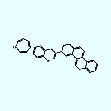 C1=CC=CNC=C1.O=C(Cc1ccccc1Br)C1C=c2c(ccc3c2=CCc2ccccc2-3)CC1